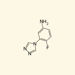 Nc1ccc(F)c(-n2cnnc2)c1